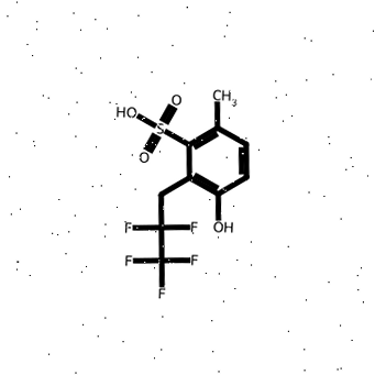 Cc1ccc(O)c(CC(F)(F)C(F)(F)F)c1S(=O)(=O)O